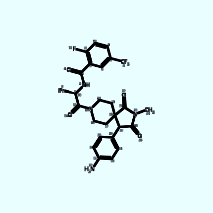 CC(C)[C@@H](NC(=O)c1cc(C(F)(F)F)ccc1F)C(=O)N1CCC2(CC1)C(=O)N(C)C(=O)C2c1ccc(N)cc1